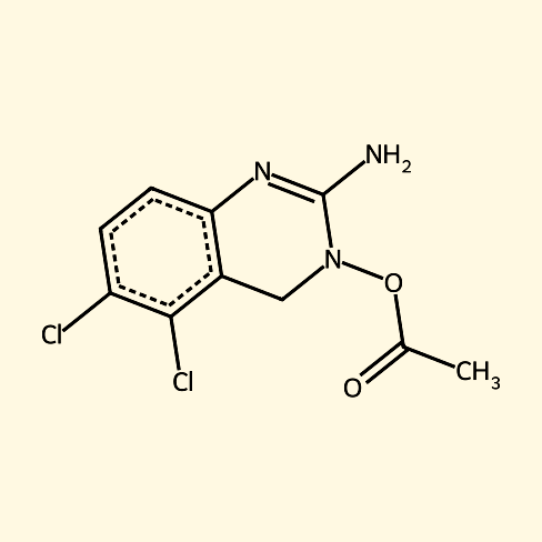 CC(=O)ON1Cc2c(ccc(Cl)c2Cl)N=C1N